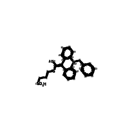 O=S(=O)(O)CCCSC(S)=C1c2ccccc2N(Cc2ccccc2)c2ccccc21